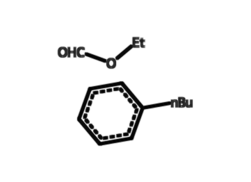 CCCCc1ccccc1.CCOC=O